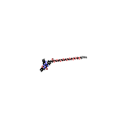 COCCOCCOCCOCCOCCOCCOCCOCCOCCOC(=O)/C=C/c1ccc(-c2nc3c(=O)n(CC4CC5CCC4C5)c(=O)n(CC4CC5CCC4C5)c3[nH]2)cc1